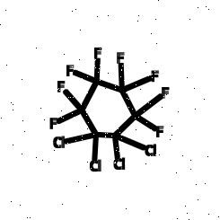 FC1(F)C(F)(F)C(F)(F)C(Cl)(Cl)C(Cl)(Cl)C1(F)F